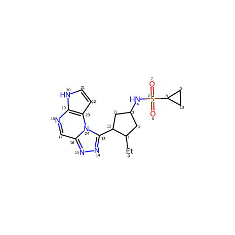 CCC1CC(NS(=O)(=O)C2CC2)CC1c1nnc2cnc3[nH]ccc3n12